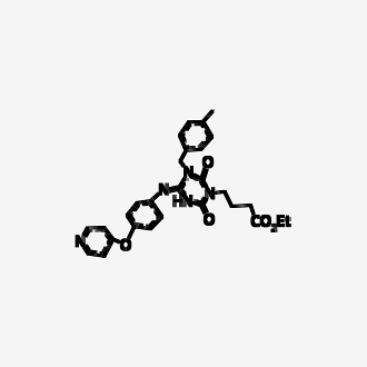 CCOC(=O)CCCn1c(=O)[nH]/c(=N\c2ccc(Oc3ccncc3)cc2)n(Cc2ccc(C)cc2)c1=O